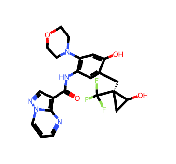 O=C(Nc1cc(C[C@@]2(C(F)(F)F)CC2O)c(O)cc1N1CCOCC1)c1cnn2cccnc12